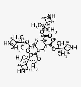 CC(C)(OC(=O)C1CC(C(=O)OC(C)(C)C2CNC2)C(C(=O)OC(C)(C)C2CNC2)CC1C(=O)OC(C)(C)C1CNC1)C1CNC1